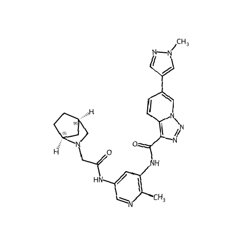 Cc1ncc(NC(=O)CN2C[C@@H]3CC[C@H]2C3)cc1NC(=O)c1nnn2cc(-c3cnn(C)c3)ccc12